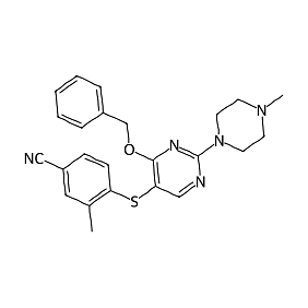 Cc1cc(C#N)ccc1Sc1cnc(N2CCN(C)CC2)nc1OCc1ccccc1